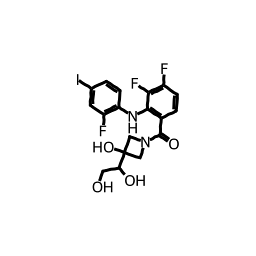 O=C(c1ccc(F)c(F)c1Nc1ccc(I)cc1F)N1CC(O)(C(O)CO)C1